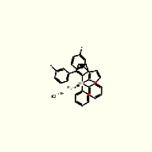 Cl.Cl.Fc1cccc(C2=[C]([Hf](=[GeH2])([C]3=C(c4cccc(F)c4)C=CC3)([c]3ccccc3)[c]3ccccc3)CC=C2)c1